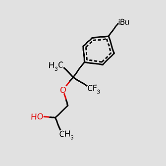 CCC(C)c1ccc(C(C)(OCC(C)O)C(F)(F)F)cc1